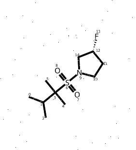 CC(C)C(C)(C)S(=O)(=O)N1CC[C@@H](F)C1